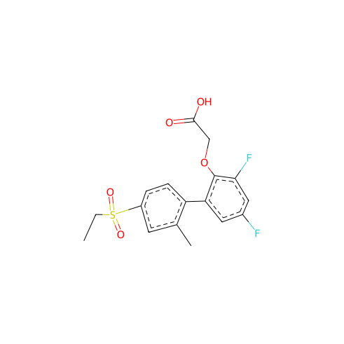 CCS(=O)(=O)c1ccc(-c2cc(F)cc(F)c2OCC(=O)O)c(C)c1